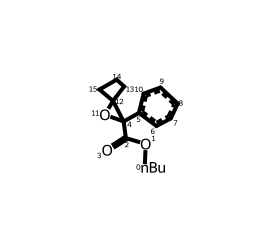 CCCCOC(=O)C1(c2ccccc2)OC12CCC2